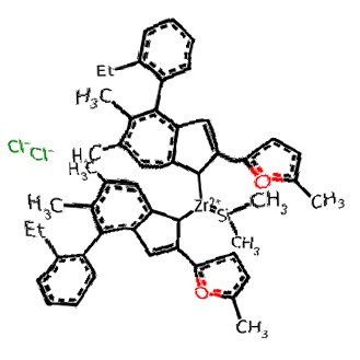 CCc1ccccc1-c1c(C)c(C)cc2c1C=C(c1ccc(C)o1)[CH]2[Zr+2]([CH]1C(c2ccc(C)o2)=Cc2c1cc(C)c(C)c2-c1ccccc1CC)=[Si](C)C.[Cl-].[Cl-]